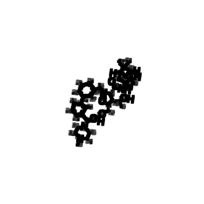 C[C@@H]1[C@@H](NC(=O)[C@@H]2[C@H]([C@H](C)O)[C@H](CO)ON2Cc2cccc(-c3cccc(C(=O)N4CCN(C)CC4)c3)c2)C[C@H]2C[C@@H]1C2(C)C